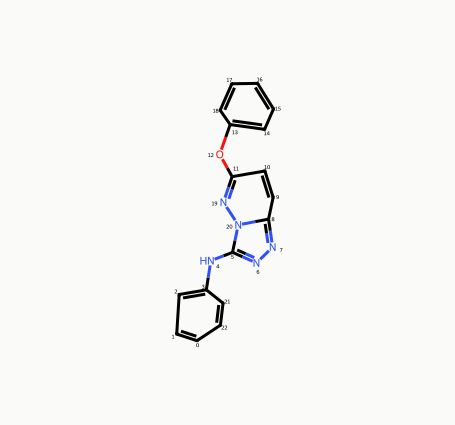 c1ccc(Nc2nnc3ccc(Oc4ccccc4)nn23)cc1